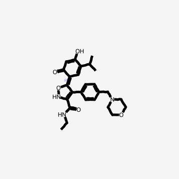 CCNC(=O)C1=C(c2ccc(CN3CCOCC3)cc2)/C(=C2\C=C(C(C)C)C(O)=CC2=O)ON1